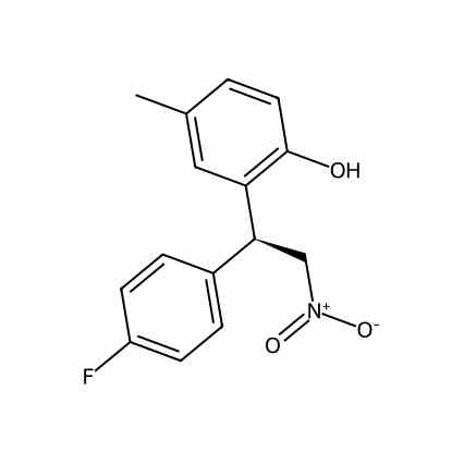 Cc1ccc(O)c([C@@H](C[N+](=O)[O-])c2ccc(F)cc2)c1